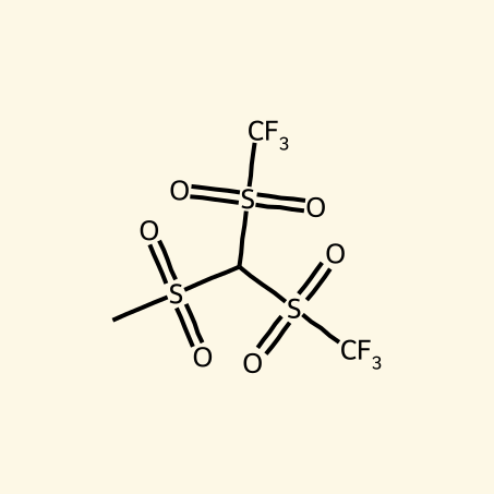 CS(=O)(=O)C(S(=O)(=O)C(F)(F)F)S(=O)(=O)C(F)(F)F